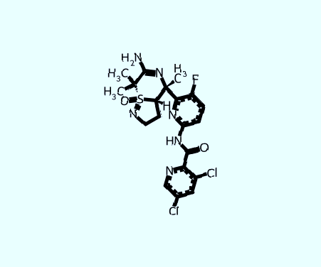 CC1(C)C(N)=N[C@](C)(c2nc(NC(=O)c3ncc(Cl)cc3Cl)ccc2F)[C@@H]2CCN=[S@@]21=O